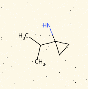 CC(C)C1([NH])CC1